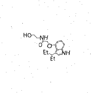 CCC(CC)c1c[nH]c2cccc(OCC(=O)NCCO)c12